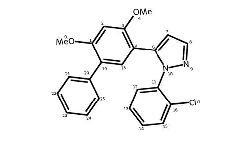 COc1cc(OC)c(-c2ccnn2-c2ccccc2Cl)cc1-c1ccccc1